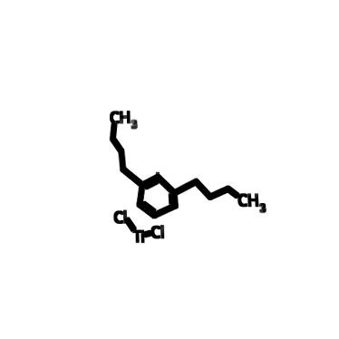 CCCCc1[c]c(CCCC)ccc1.[Cl][Ti][Cl]